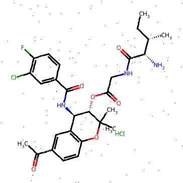 CC[C@H](C)[C@H](N)C(=O)NCC(=O)O[C@H]1[C@H](NC(=O)c2ccc(F)c(Cl)c2)c2cc(C(C)=O)ccc2OC1(C)C.Cl